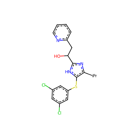 CC(C)c1nc(C(O)Cc2ccccn2)[nH]c1Sc1cc(Cl)cc(Cl)c1